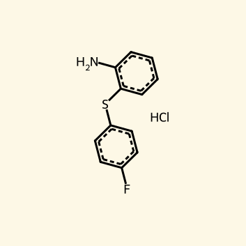 Cl.Nc1ccccc1Sc1ccc(F)cc1